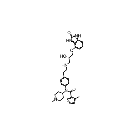 Cc1ccsc1C(=O)N(c1ccc(CCNC[C@H](O)COc2cccc3[nH]c(=O)[nH]c23)cc1)C1CCN(I)CC1